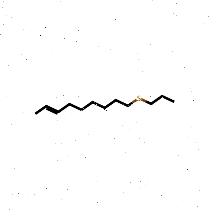 C/C=C/CCCCCCSCCC